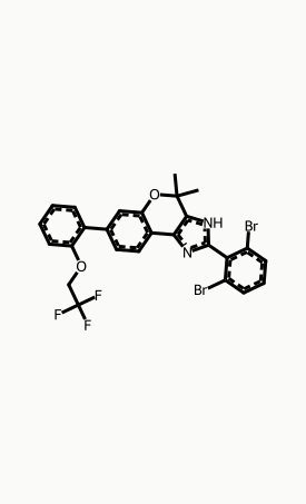 CC1(C)Oc2cc(-c3ccccc3OCC(F)(F)F)ccc2-c2nc(-c3c(Br)cccc3Br)[nH]c21